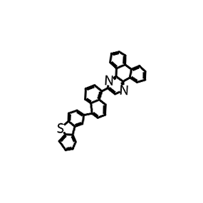 c1ccc2c(c1)sc1ccc(-c3cccc4c(-c5cnc6c7ccccc7c7ccccc7c6n5)cccc34)cc12